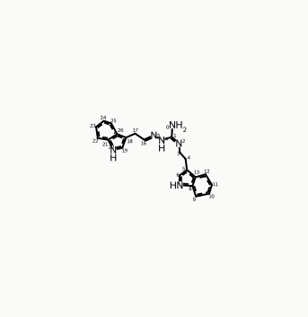 NC(=NCCc1c[nH]c2ccccc12)NN=CCc1c[nH]c2ccccc12